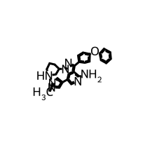 Cn1cc(-c2cnc(N)c3c(-c4ccc(Oc5ccccc5)cc4)nn(C4CCCNC4)c23)cn1